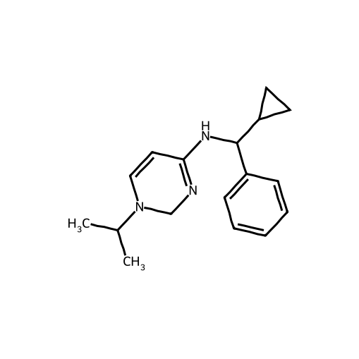 CC(C)N1C=CC(NC(c2ccccc2)C2CC2)=NC1